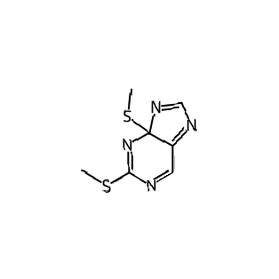 CSC1=NC2(SC)N=CN=C2C=N1